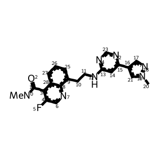 CNC(=O)c1c(F)cnc2c(CCNc3cc(-c4cnn(C)c4)ncn3)cccc12